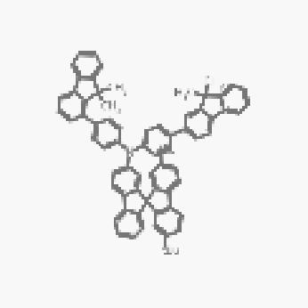 CC(C)(C)c1ccc2c(c1)C1(c3ccccc3-c3ccc(N(c4ccc(-c5ccc6c(c5)C(C)(C)c5ccccc5-6)cc4)c4ccc(-c5cccc6c5C(C)(C)c5ccccc5-6)cc4)cc31)c1cc(C(C)(C)C)ccc1-2